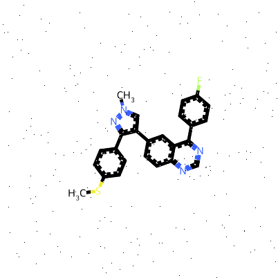 CSc1ccc(-c2nn(C)cc2-c2ccc3ncnc(-c4ccc(F)cc4)c3c2)cc1